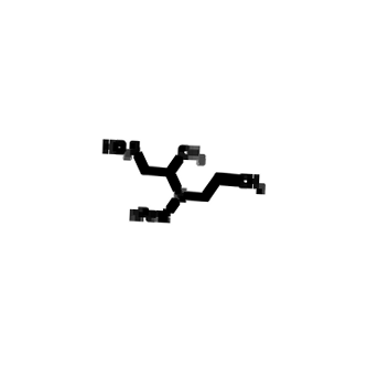 C=CCN(CCCCC)C(C)CS(=O)(=O)O